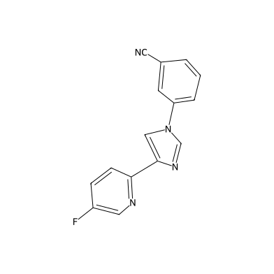 N#Cc1cccc(-n2cnc(-c3ccc(F)cn3)c2)c1